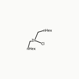 CCCCCC[CH2][Zn]([Cl])[CH2]CCCCCC